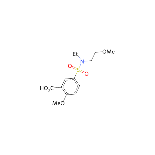 CCN(CCOC)S(=O)(=O)c1ccc(OC)c(C(=O)O)c1